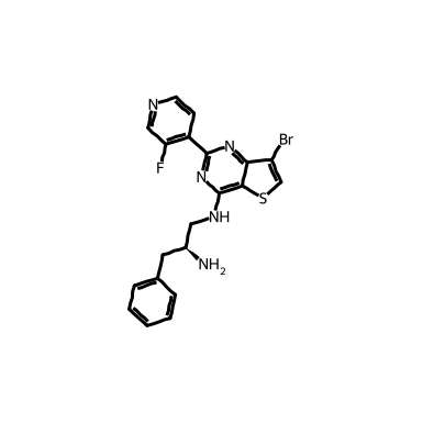 N[C@H](CNc1nc(-c2ccncc2F)nc2c(Br)csc12)Cc1ccccc1